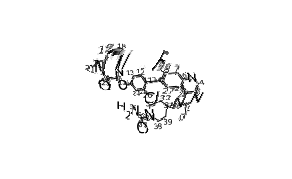 Cc1nc2cnc3cc(F)c(-c4ccc(Oc5nccn(C)c5=O)cc4Cl)cc3c2n1C1CCN(C(N)=O)CC1